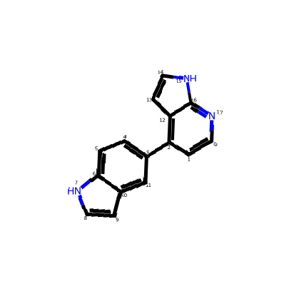 c1cc(-c2ccc3[nH]ccc3c2)c2cc[nH]c2n1